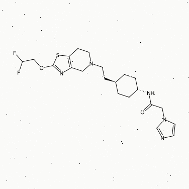 O=C(Cn1ccnc1)N[C@H]1CC[C@H](CCN2CCc3sc(OCC(F)F)nc3C2)CC1